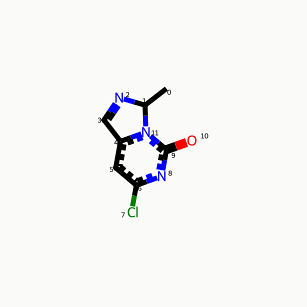 CC1N=Cc2cc(Cl)nc(=O)n21